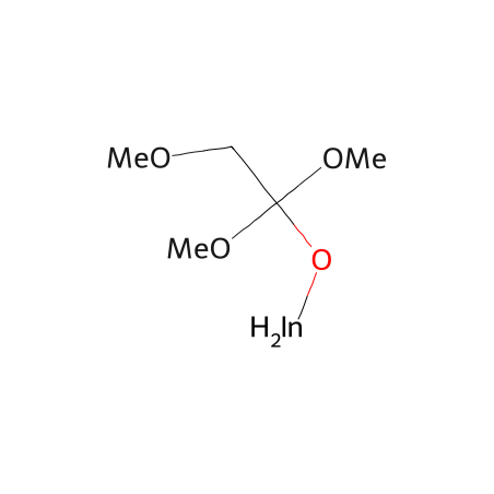 COCC(OC)(OC)[O][InH2]